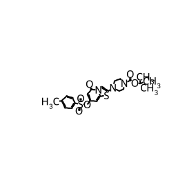 Cc1ccc(S(=O)(=O)Oc2cc(=O)n3cc(N4CCN(C(=O)OC(C)(C)C)CC4)sc3c2)cc1